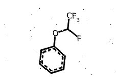 FC(Oc1ccccc1)C(F)(F)F